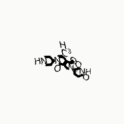 Cc1cn(C2CCNCC2)c(=O)c2c1C(=O)N([C@@H]1CCC(=O)NC1=O)C2